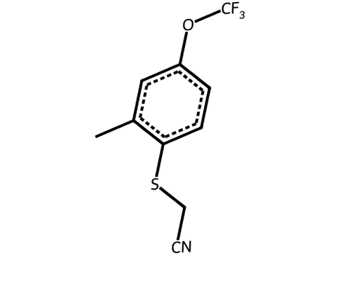 Cc1cc(OC(F)(F)F)ccc1SCC#N